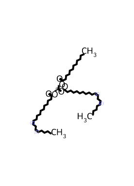 CCCCC/C=C\C/C=C\CCCCCCCCCC(=O)OC[C@@H](COC(=O)CCCCCCCCCCCC)OC(=O)CCCCCCCCC/C=C\C/C=C\CCCCC